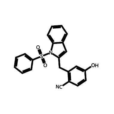 N#Cc1ccc(O)cc1Cc1cc2ccccc2n1S(=O)(=O)c1ccccc1